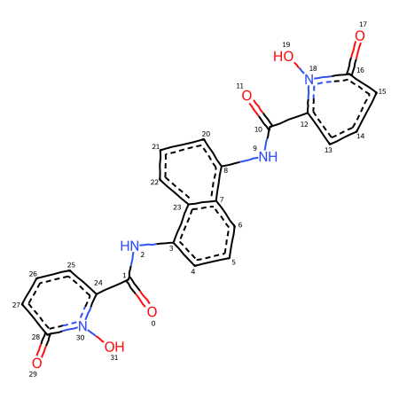 O=C(Nc1cccc2c(NC(=O)c3cccc(=O)n3O)cccc12)c1cccc(=O)n1O